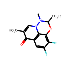 CCOC(=O)C1Oc2c(F)c(F)cc3c(=O)c(C(=O)O)cn(c23)N1C